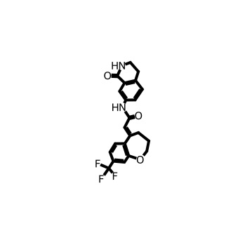 O=C(/C=C1\CCCOc2cc(C(F)(F)F)ccc21)Nc1ccc2c(c1)C(=O)NCC2